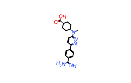 CN(c1ccc(-c2ccc(C(=N)N)cc2)nn1)[C@H]1CC[C@H](C(=O)O)CC1